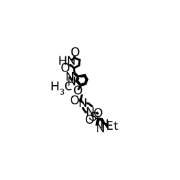 CCn1cc(S(=O)(=O)N2CCN(C(=O)COc3cccc4c(C5CCC(=O)NC5=O)nn(C)c34)CC2)cn1